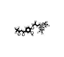 COc1cc(C(=O)CC(=O)C(C)(C)C)ccc1OCC(C)CC[Si](C)(O[Si](C)(C)C)O[Si](C)(C)C